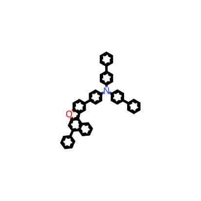 c1ccc(-c2ccc(N(c3ccc(-c4ccccc4)cc3)c3ccc(-c4ccc5oc6cc(-c7ccccc7)c7ccccc7c6c5c4)cc3)cc2)cc1